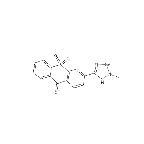 CN1NN=C(c2ccc3c(c2)S(=O)(=O)c2ccccc2C3=O)N1